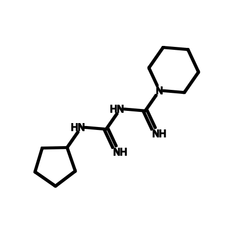 N=C(NC(=N)N1CCCCC1)NC1CCCC1